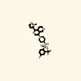 Cn1nccc1-c1nnc(N2CCC(NS(=O)(=O)c3ccc(F)cc3C(F)(F)F)CC2)c2cnccc12